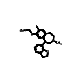 COCOc1cc2c(cc1I)CCN(C)CC2c1cccc2c1OCC2